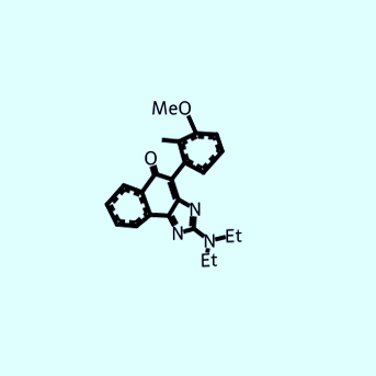 CCN(CC)C1=NC2=C(c3cccc(OC)c3C)C(=O)c3ccccc3C2=N1